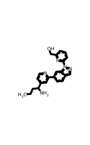 CCCC(N)c1ccnc(-c2ccc3cnn(-c4cccc(CO)n4)c3c2)c1